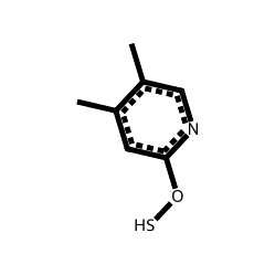 Cc1cnc(OS)cc1C